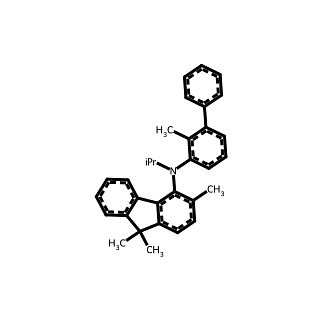 Cc1ccc2c(c1N(c1cccc(-c3ccccc3)c1C)C(C)C)-c1ccccc1C2(C)C